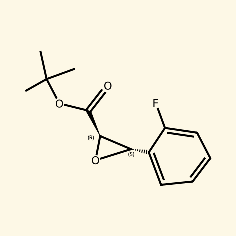 CC(C)(C)OC(=O)[C@@H]1O[C@H]1c1ccccc1F